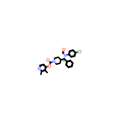 Cc1nccc(OC(=O)N2CCC([C@@H](c3ccccc3)N(C=O)c3ccc(Cl)cc3)CC2)c1C